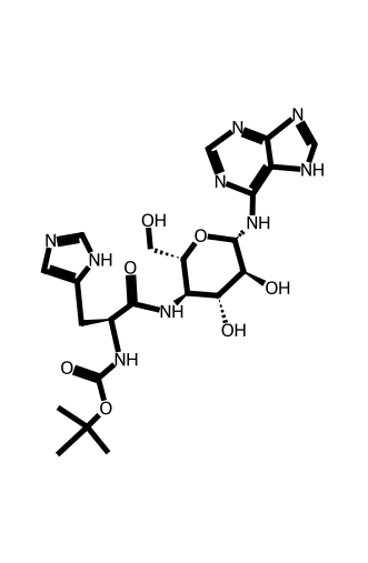 CC(C)(C)OC(=O)N[C@@H](Cc1cnc[nH]1)C(=O)N[C@@H]1[C@@H](O)[C@H](O)[C@@H](Nc2ncnc3nc[nH]c23)O[C@H]1CO